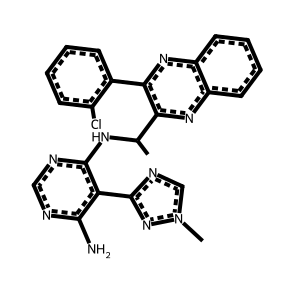 CC(Nc1ncnc(N)c1-c1ncn(C)n1)c1nc2ccccc2nc1-c1ccccc1Cl